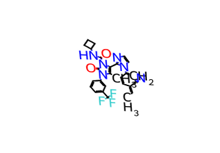 C=C(/C=C\C(C#N)=C/C)n1ccnc1-c1c(C)n(-c2cccc(C(F)(F)F)c2)c(=O)n1C(=O)NC1CCC1